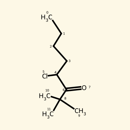 CCCCC(Cl)C(=O)C(C)(C)C